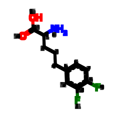 NC(CCCc1ccc(F)c(F)c1)C(=O)O